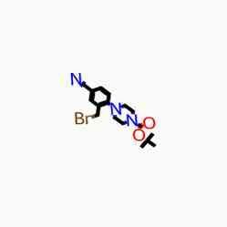 CC(C)(C)OC(=O)N1CCN(c2ccc(C#N)cc2CBr)CC1